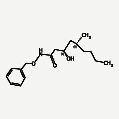 CCCC[C@@H](C)C[C@@H](O)CC(=O)NOCc1ccccc1